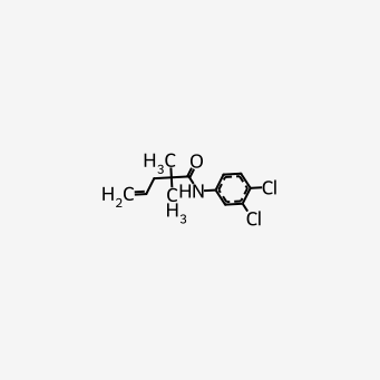 C=CCC(C)(C)C(=O)Nc1ccc(Cl)c(Cl)c1